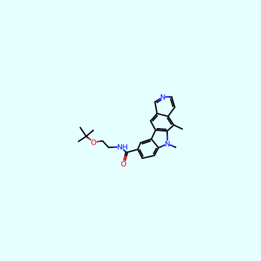 Cc1c2ccncc2cc2c3cc(C(=O)NCCOC(C)(C)C)ccc3n(C)c12